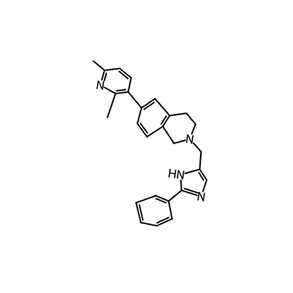 Cc1ccc(-c2ccc3c(c2)CCN(Cc2cnc(-c4ccccc4)[nH]2)C3)c(C)n1